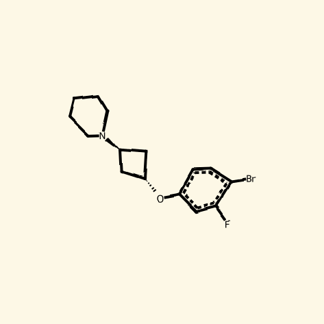 Fc1cc(O[C@H]2C[C@H](N3CCCCC3)C2)ccc1Br